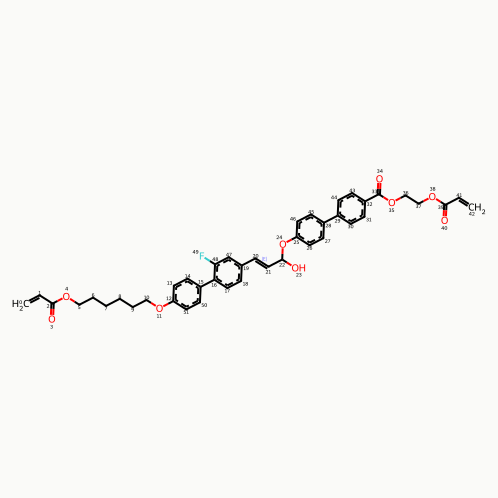 C=CC(=O)OCCCCCCOc1ccc(-c2ccc(/C=C/C(O)Oc3ccc(-c4ccc(C(=O)OCCOC(=O)C=C)cc4)cc3)cc2F)cc1